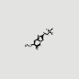 COc1cc2nc(CCS(C)(=O)=O)cn2cc1Br